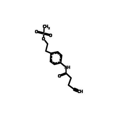 C#CCCC(=O)Nc1ccc(CCOS(C)(=O)=O)cc1